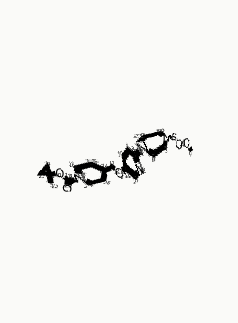 COOSN1CCN(c2ccc(OCC3CCN(C(=O)OC4(C)CC4)CC3)cn2)CC1